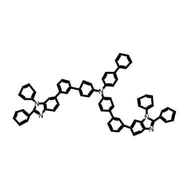 c1ccc(-c2ccc(N(c3ccc(-c4cccc(-c5ccc6nc(-c7ccccc7)n(-c7ccccc7)c6c5)c4)cc3)c3ccc(-c4cccc(-c5ccc6nc(-c7ccccc7)n(-c7ccccc7)c6c5)c4)cc3)cc2)cc1